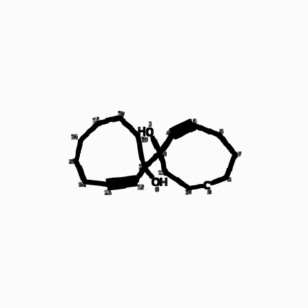 OC1(C2(O)C#CCCCCCC2)C#CCCCCCC1